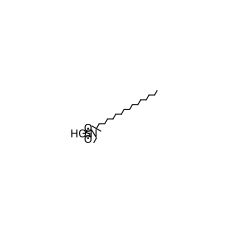 CCCCCCCCCCCCCCCC(C)(C)N(CC)S(=O)(=O)O